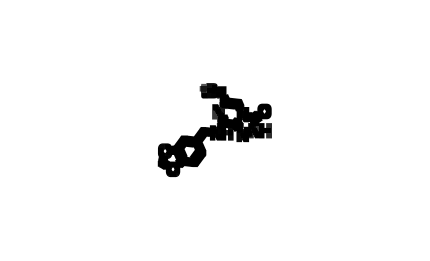 CC(C)(C)c1cn2c(=O)[nH]nc2c(NCc2ccc3c(c2)OCO3)n1